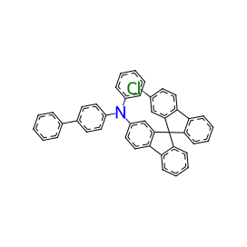 Clc1ccc2c(c1)C1(c3ccccc3-2)c2ccccc2-c2ccc(N(c3ccccc3)c3ccc(-c4ccccc4)cc3)cc21